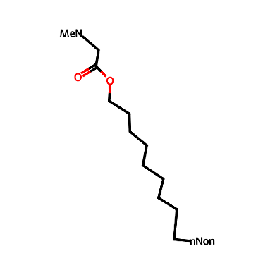 CCCCCCCCCCCCCCCCCCOC(=O)CNC